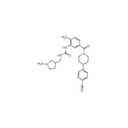 Cc1ccc(C(=O)N2CCC(c3ccc(C#N)cc3)CC2)cc1NC(=O)NCC1CCN(C)C1